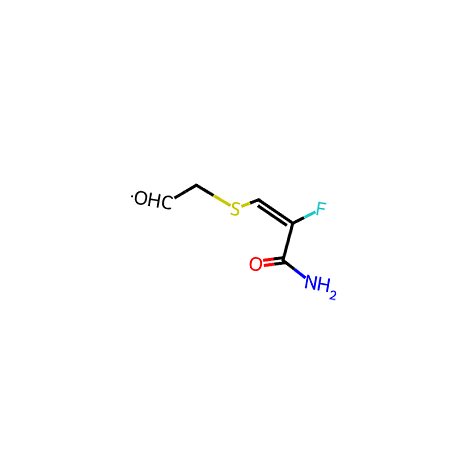 NC(=O)/C(F)=C\SC[C]=O